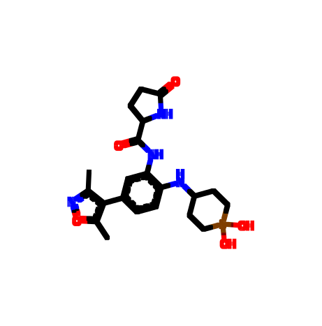 Cc1noc(C)c1-c1ccc(NC2CCS(O)(O)CC2)c(NC(=O)C2CCC(=O)N2)c1